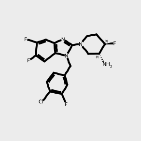 N[C@@H]1CN(c2nc3cc(F)c(F)cc3n2Cc2ccc(Cl)c(F)c2)CC[C@H]1F